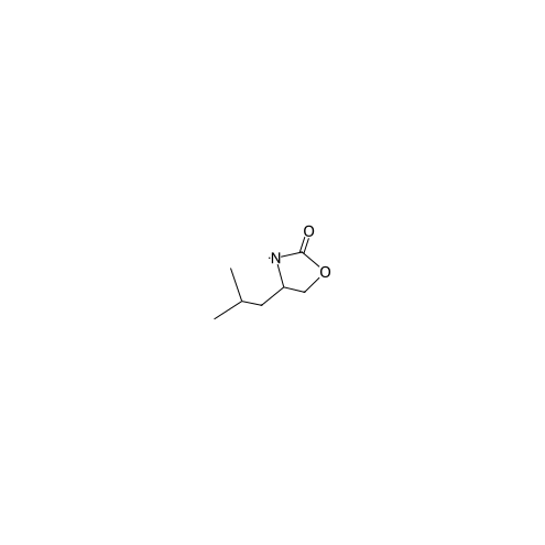 CC(C)CC1COC(=O)[N]1